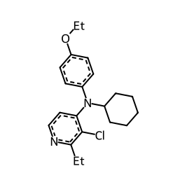 CCOc1ccc(N(c2ccnc(CC)c2Cl)C2CCCCC2)cc1